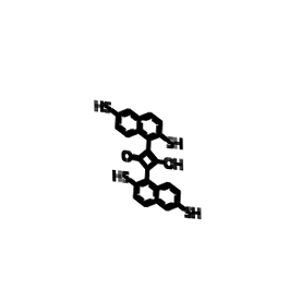 O=C1C(c2c(S)ccc3cc(S)ccc23)=C(O)C1c1c(S)ccc2cc(S)ccc12